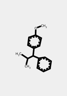 COc1ccc(C(c2ccccc2)C(C)C)cc1